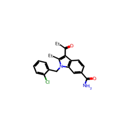 CCC(=O)c1c(CC)n(Cc2ccccc2Cl)c2cc(C(N)=O)ccc12